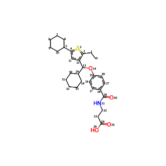 CCc1sc(C2CCCCC2)cc1C(Oc1ccc(C(=O)NCCC(=O)O)cc1)C1CCCCC1